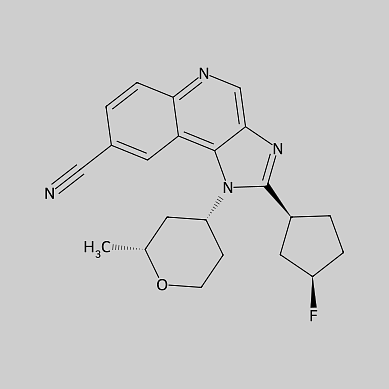 C[C@@H]1C[C@H](n2c([C@H]3CC[C@@H](F)C3)nc3cnc4ccc(C#N)cc4c32)CCO1